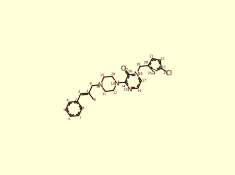 C/C(=C\c1ccccc1)CN1CCN(c2nccn(Cc3ccc(Cl)s3)c2=O)CC1